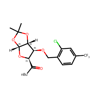 CCCCC(=O)[C@H]1O[C@@H]2OC(C)(C)O[C@@H]2[C@H]1OCc1ccc(C(F)(F)F)cc1Cl